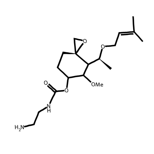 COC1C(OC(=O)NCCN)CC[C@]2(CO2)C1[C@H](C)OCC=C(C)C